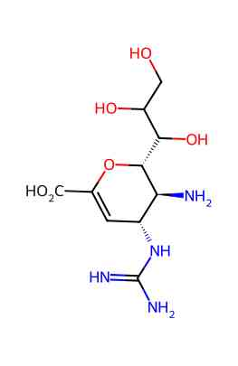 N=C(N)N[C@@H]1C=C(C(=O)O)O[C@H](C(O)C(O)CO)[C@H]1N